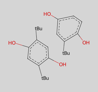 CC(C)(C)c1cc(O)c(C(C)(C)C)cc1O.CC(C)(C)c1cc(O)ccc1O